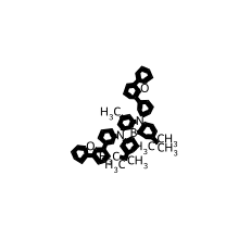 Cc1cc2c3c(c1)N(c1cccc(-c4cccc5c4oc4ccccc45)c1)c1cc(C(C)(C)C)ccc1B3c1cc(C(C)(C)C)ccc1N2c1cccc(-c2cccc3c2oc2ccccc23)c1